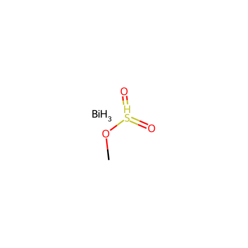 CO[SH](=O)=O.[BiH3]